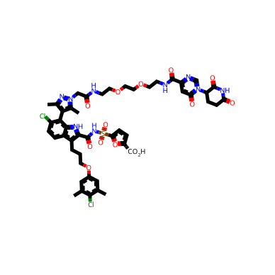 Cc1cc(OCCCc2c(C(=O)NS(=O)(=O)c3ccc(C(=O)O)o3)[nH]c3c(-c4c(C)nn(CC(=O)NCCOCCOCCNC(=O)c5cc(=O)n(C6CCC(=O)NC6=O)cn5)c4C)c(Cl)ccc23)cc(C)c1Cl